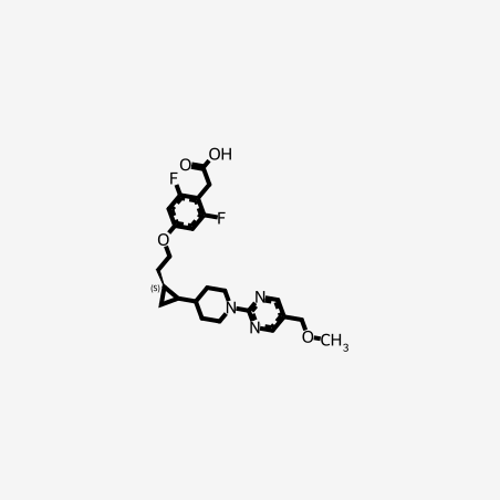 COCc1cnc(N2CCC(C3C[C@H]3CCOc3cc(F)c(CC(=O)O)c(F)c3)CC2)nc1